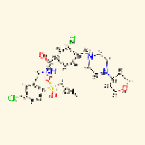 CCS(=O)(=O)c1ccc(Cl)cc1CNC(=O)c1ccc(CN2CCN(C3CCOCC3)CC2)c(Cl)c1